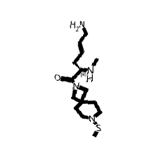 CN[C@H](CCCCN)C(=O)N1CC2(CCN(SC)CC2)C1